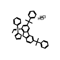 C[CH]=[Ti]([C]1=CC=CC1)([c]1ccccc1)[c]1cc(C(C)(C)c2ccccc2)cc2c1Cc1ccc(C(C)(C)c3ccccc3)cc1-2.Cl.Cl